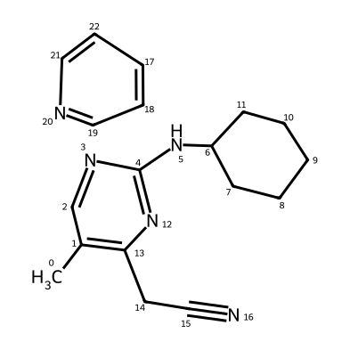 Cc1cnc(NC2CCCCC2)nc1CC#N.c1ccncc1